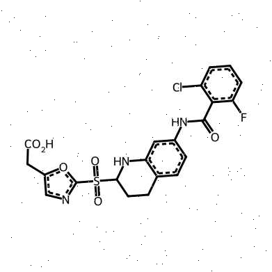 O=C(O)Cc1cnc(S(=O)(=O)C2CCc3ccc(NC(=O)c4c(F)cccc4Cl)cc3N2)o1